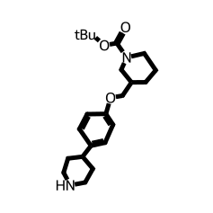 CC(C)(C)OC(=O)N1CCCC(COc2ccc(C3CCNCC3)cc2)C1